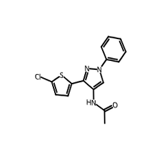 CC(=O)Nc1cn(-c2ccccc2)nc1-c1ccc(Cl)s1